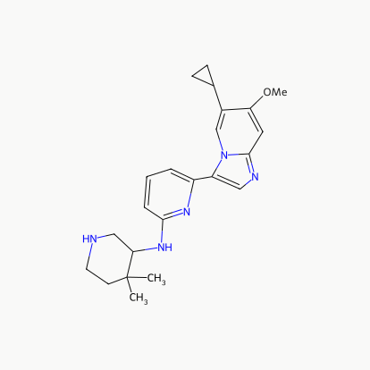 COc1cc2ncc(-c3cccc(NC4CNCCC4(C)C)n3)n2cc1C1CC1